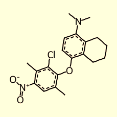 Cc1cc([N+](=O)[O-])c(C)c(Cl)c1Oc1ccc(N(C)C)c2c1CCCC2